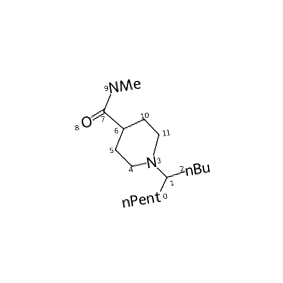 CCCCCC(CCCC)N1CCC(C(=O)NC)CC1